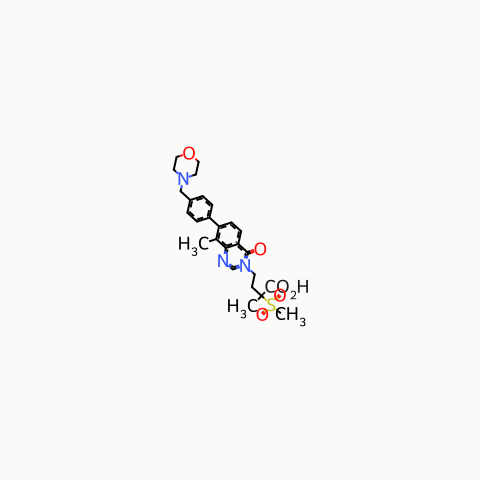 Cc1c(-c2ccc(CN3CCOCC3)cc2)ccc2c(=O)n(CCC(C)(C(=O)O)S(C)(=O)=O)cnc12